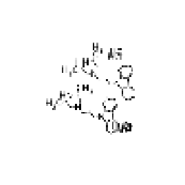 CC1CN(CCCn2c3ccccc3c3ccccc32)CC(C)N1.CC1CN(CCCn2c3ccccc3c3ccccc32)CC(C)N1.Cl.Cl.Cl.Cl.O